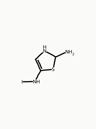 NC1NC=C(NI)S1